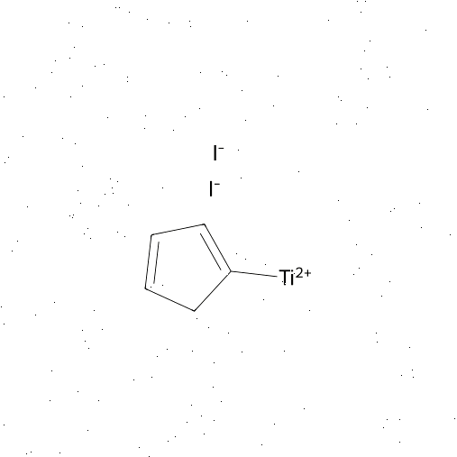 [I-].[I-].[Ti+2][C]1=CC=CC1